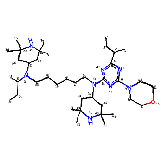 CCC(C)c1nc(N2CCOCC2)nc(N(CCCCCCN(C(C)CC)C2CC(C)(C)NC(C)(C)C2)C2CC(C)(C)NC(C)(C)C2)n1